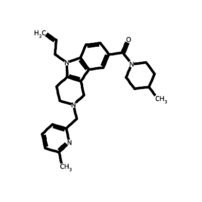 C=CCn1c2c(c3cc(C(=O)N4CCC(C)CC4)ccc31)CN(Cc1cccc(C)n1)CC2